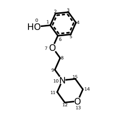 Oc1ccccc1OCCN1CCOCC1